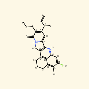 C=CC(C)C1=C(CCC)C(=C)N2Cc3c(nc4cc(F)c(C)c5c4c3CCC5)C2=C1